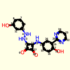 O=c1c(NNc2cccc(O)c2)c(Nc2ccc(O)c(-c3ncccn3)c2)c1=O